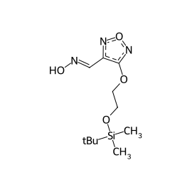 CC(C)(C)[Si](C)(C)OCCOc1nonc1C=NO